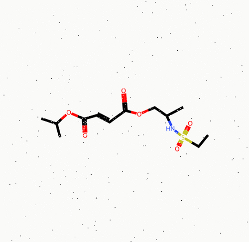 CCS(=O)(=O)NC(C)COC(=O)/C=C/C(=O)OC(C)C